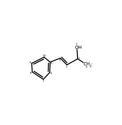 [CH2]C(O)C=Cc1ccccc1